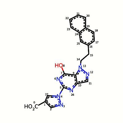 O=C(O)c1cnn(-c2nc(O)c3c(cnn3CCc3ccc4ccccc4c3)n2)c1